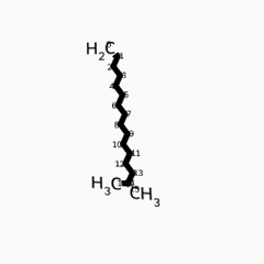 C=CCCCCCCCCCCCCC(C)C